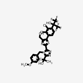 COc1ccc(Cn2c(-c3nc(CO)c(-c4ccc(C(O)(C(F)(F)F)C(F)(F)F)c(Cl)c4Cl)s3)nnc2C(C)(C)O)cc1